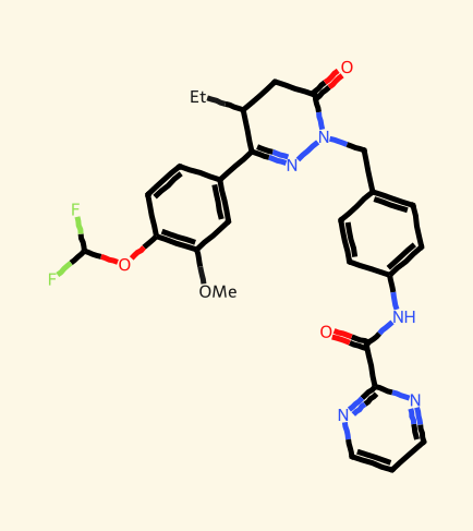 CCC1CC(=O)N(Cc2ccc(NC(=O)c3ncccn3)cc2)N=C1c1ccc(OC(F)F)c(OC)c1